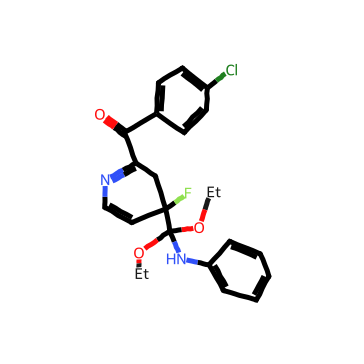 CCOC(Nc1ccccc1)(OCC)C1(F)C=CN=C(C(=O)c2ccc(Cl)cc2)C1